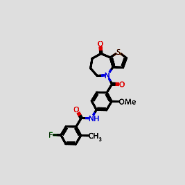 COc1cc(NC(=O)c2cc(F)ccc2C)ccc1C(=O)N1CCCC(=O)c2sccc21